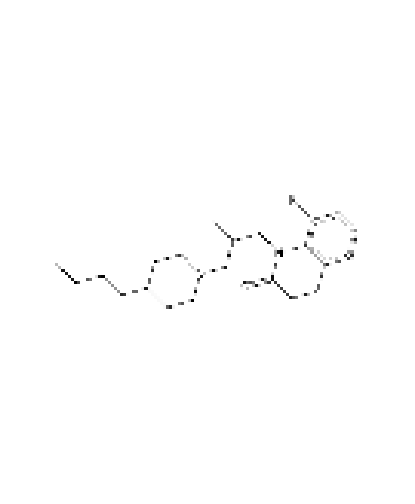 CCCCC1CCN(CC(C)CN2C(=O)CCc3cccc(F)c32)CC1